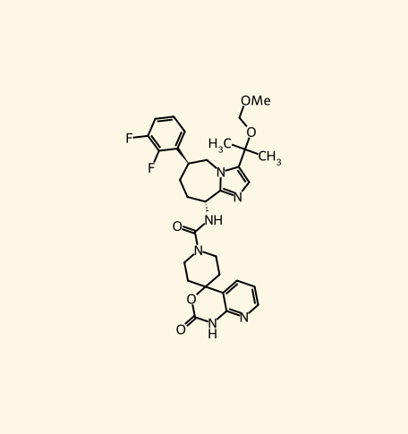 COCOC(C)(C)c1cnc2n1C[C@H](c1cccc(F)c1F)CC[C@H]2NC(=O)N1CCC2(CC1)OC(=O)Nc1ncccc12